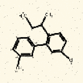 CCC(C)c1ccc(Cl)cc1-c1cccc(C)c1